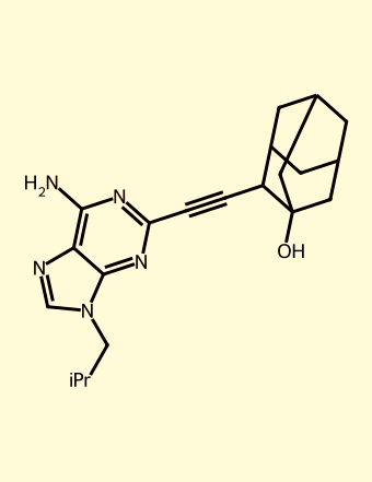 CC(C)Cn1cnc2c(N)nc(C#CC3C4CC5CC(C4)CC3(O)C5)nc21